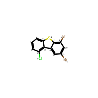 Clc1cccc2sc3c(Br)cc(Br)cc3c12